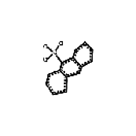 Cl[Si](Cl)(Cl)c1c2ccccc2cc2ccccc12